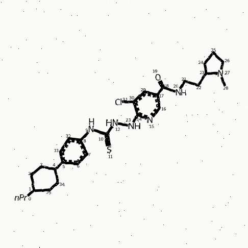 CCCC1CCC(c2ccc(NC(=S)NNc3ncc(C(=O)NCCC4CCCN4C)cc3Cl)cc2)CC1